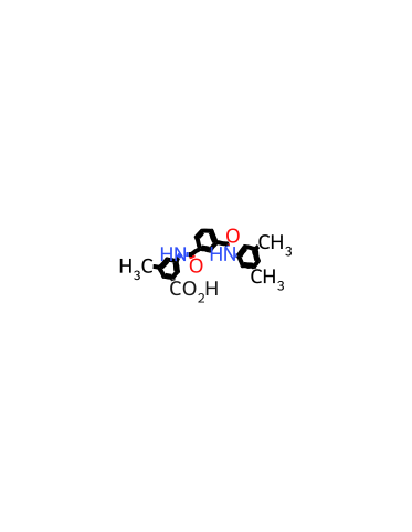 Cc1cc(C)cc(NC(=O)c2cccc(C(=O)Nc3cc(C)cc(C(=O)O)c3)c2)c1